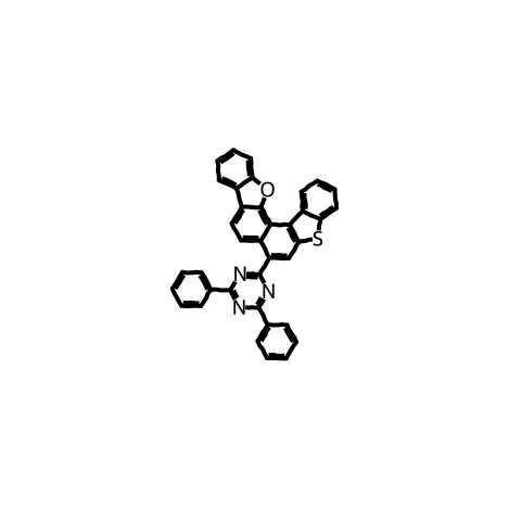 c1ccc(-c2nc(-c3ccccc3)nc(-c3cc4sc5ccccc5c4c4c3ccc3c5ccccc5oc34)n2)cc1